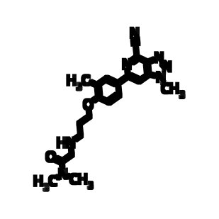 Cc1cc(-c2cc3c(nnn3C)c(C#N)n2)ccc1OCCCNCC(=O)N(C)C